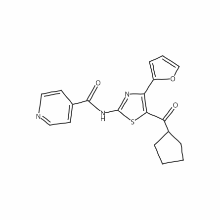 O=C(Nc1nc(-c2ccco2)c(C(=O)C2CCCC2)s1)c1ccncc1